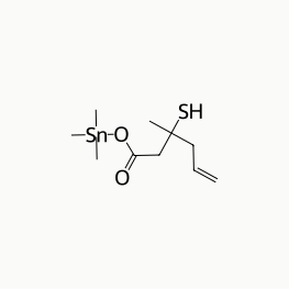 C=CCC(C)(S)CC(=O)[O][Sn]([CH3])([CH3])[CH3]